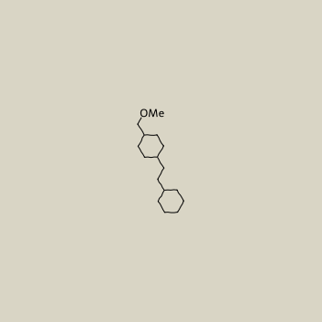 COCC1CCC(CCC2CCCCC2)CC1